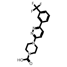 O=C(O)N1CCN(c2ccc(-c3cccc(C(F)(F)F)c3)nn2)CC1